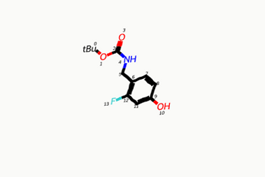 CC(C)(C)OC(=O)NCc1ccc(O)cc1F